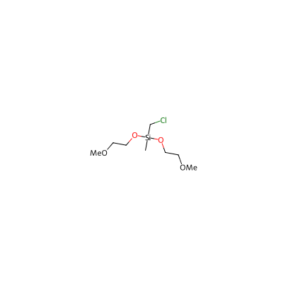 COCCO[Si](C)(CCl)OCCOC